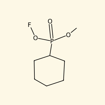 COP(=O)(OF)C1CCCCC1